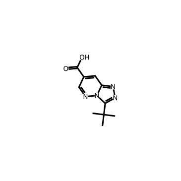 CC(C)(C)c1nnc2cc(C(=O)O)cnn12